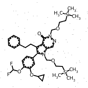 C[Si](C)(C)CCOCn1ncc2c(c(CCc3ccccc3)c(-c3ccc(OC(F)F)c(OC4CC4)c3)n2COCC[Si](C)(C)C)c1=O